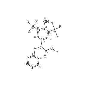 COC(=O)C(Cc1ccccc1)c1cc(C(C)(C)C)c(O)c(C(C)(C)C)c1